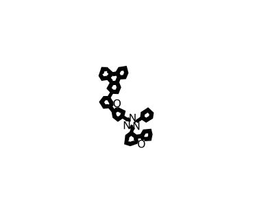 c1ccc(-c2nc(-c3ccc4c(c3)oc3c(-c5ccc6c7ccccc7c7ccccc7c6c5)cccc34)nc(-c3cccc4oc5ccccc5c34)n2)cc1